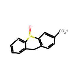 O=C(O)c1ccc2c(c1)[S+]([O-])c1ccccc1C2